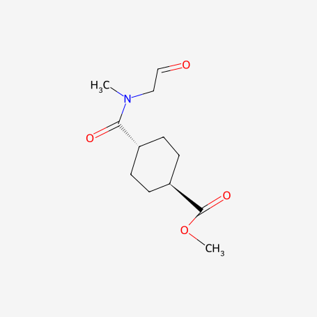 COC(=O)[C@H]1CC[C@H](C(=O)N(C)CC=O)CC1